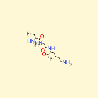 CC(C)C[C@H](NC(C)C)C(=O)NCC(=O)N[C@@H](CCCCN)C(=O)C(C)C